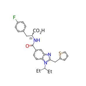 CCC(CC)n1c(Cc2cccs2)nc2cc(C(=O)N[C@@H](Cc3ccc(F)cc3)C(=O)O)ccc21